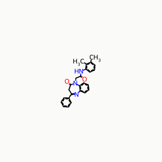 Cc1cccc(NC(=O)CN2C(=O)CC(c3ccccc3)=Nc3ccccc32)c1C